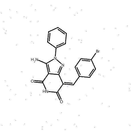 Nc1c2c(nn1-c1ccccc1)/C(=C\c1ccc(Br)cc1)C(=O)NC2=O